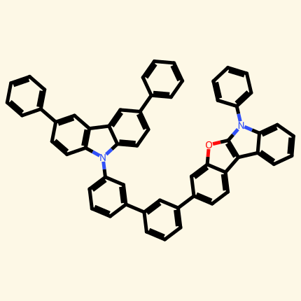 c1ccc(-c2ccc3c(c2)c2cc(-c4ccccc4)ccc2n3-c2cccc(-c3cccc(-c4ccc5c(c4)oc4c5c5ccccc5n4-c4ccccc4)c3)c2)cc1